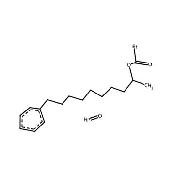 CCC(=O)OC(C)CCCCCCCCc1ccccc1.O=P